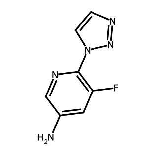 Nc1cnc(-n2ccnn2)c(F)c1